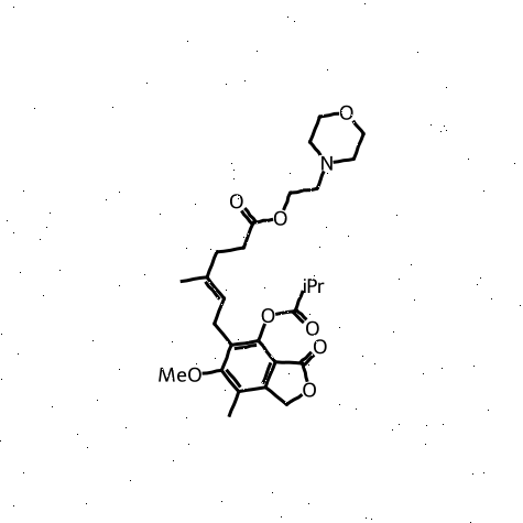 COc1c(C)c2c(c(OC(=O)C(C)C)c1C/C=C(\C)CCC(=O)OCCN1CCOCC1)C(=O)OC2